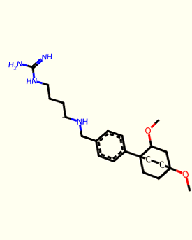 COC1CC2(OC)CCC1(c1ccc(CN[CH]CCCNC(=N)N)cc1)CC2